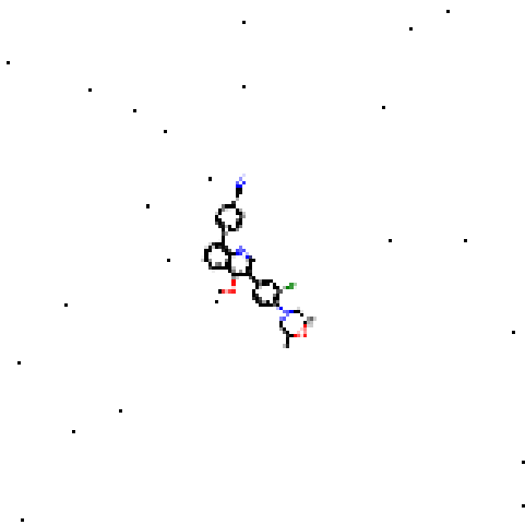 COc1c(-c2ccc(N3CC(C)O[C@@H](C)C3)c(F)c2)cnc2c(-c3ccc(C#N)cc3)cccc12